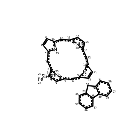 C1=Cc2cc3ccc(cc4nc(cc5ccc(cc1n2)[nH]5)C=C4)[nH]3.[Fe].[SiH4].c1ccc2c(c1)Cc1ccccc1-2